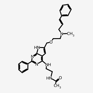 CC(=O)NCCNc1nc(-c2ccccc2)nc2[nH]c(COCCN(C)C/C=C/c3ccccc3)cc12